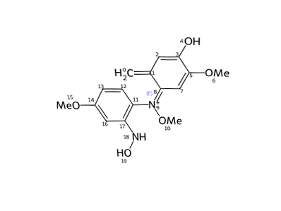 C=C1C=C(O)C(OC)=C/C1=[N+](\OC)c1ccc(OC)cc1NO